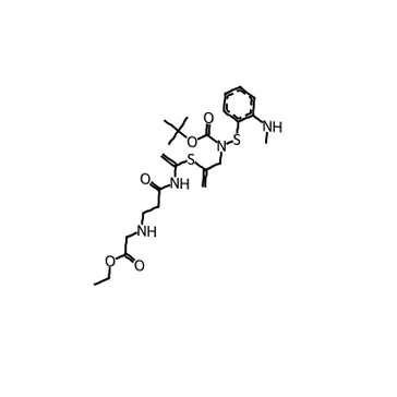 C=C(CN(Sc1ccccc1NC)C(=O)OC(C)(C)C)SC(=C)NC(=O)CCNCC(=O)OCC